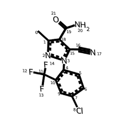 Cc1nn(-c2ccc(Cl)cc2C(F)(F)F)c(C#N)c1C(N)=O